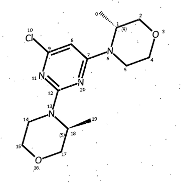 C[C@@H]1COCCN1c1cc(Cl)nc(N2CCOC[C@@H]2C)n1